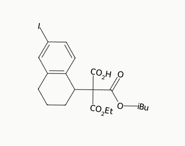 CCOC(=O)C(C(=O)O)(C(=O)OC(C)CC)C1CCCc2cc(I)ccc21